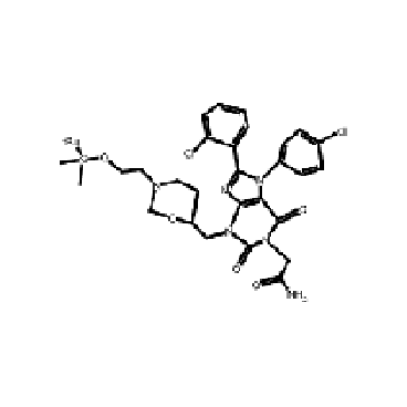 CC(C)(C)[Si](C)(C)OCCN1CCC(Cn2c(=O)n(CC(N)=O)c(=O)c3c2nc(-c2ccccc2Cl)n3-c2ccc(Cl)cc2)CC1